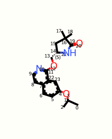 CC(C)Oc1ccc2ccnc(OC[C@@H]3CC(C)(C)C(=O)N3)c2c1